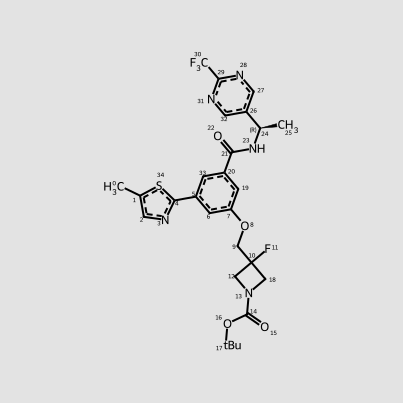 Cc1cnc(-c2cc(OCC3(F)CN(C(=O)OC(C)(C)C)C3)cc(C(=O)N[C@H](C)c3cnc(C(F)(F)F)nc3)c2)s1